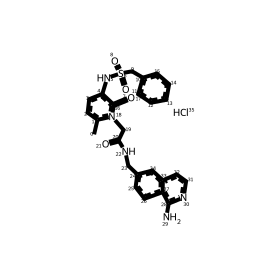 Cc1ccc(NS(=O)(=O)Cc2ccccc2)c(=O)n1CC(=O)NCc1ccc2c(N)nccc2c1.Cl